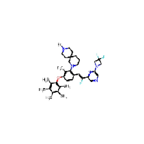 Bc1c(B)c(B)c(Oc2ccc(/C=C(\F)c3cncc(N4CC(F)(F)C4)n3)c(N3CCCC4(CCN(CC)CC4)C3)c2C(F)(F)F)c(B)c1B